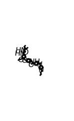 CCCCN1CCC(N(C)c2ccc(C(=O)Nc3ccc(Oc4ccc(NC(=O)NC(CC)CC)cc4OCC)cc3)cc2)CC1